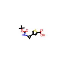 CC(C)(C)OC(=O)NC1CC1c1csc(C(=O)O)c1